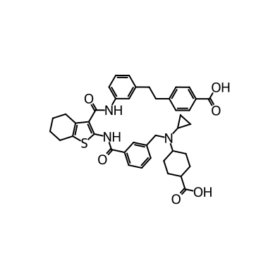 O=C(O)c1ccc(CCc2cccc(NC(=O)c3c(NC(=O)c4cccc(CN(C5CCC(C(=O)O)CC5)C5CC5)c4)sc4c3CCCC4)c2)cc1